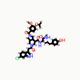 CNC(=O)[C@H](CCCc1ccc(O)cc1)NC(=O)C1CN(C(=O)Cc2c[nH]c3cc(Cl)ccc23)CC2CN(C(=O)c3ccc(OC(C)C)c(OC)c3)CC21